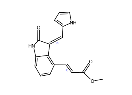 COC(=O)/C=C/c1cccc2c1/C(=C/c1ccc[nH]1)C(=O)N2